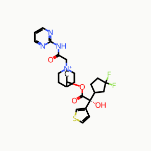 O=C(C[N+]12CCC(CC1)C(OC(=O)[C@](O)(c1ccsc1)C1CCC(F)(F)C1)C2)Nc1ncccn1